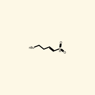 CCCCCCC=C[SH](=O)=O